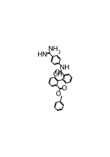 Cc1cccc(C(=O)OCc2ccccc2)c1-c1ccccc1C(=O)Nc1ccc(C(=N)N)cc1